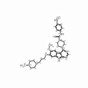 COc1cc2c(cc1OCCCN1CCN(C)CC1)[nH]c1ncnc(N3CCN(C(=S)Nc4ccc(NCl)cc4)CC3)c12